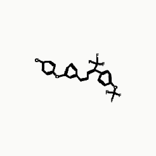 FC(F)(F)Oc1ccc(/C(=C\C=C/c2cccc(Oc3ccc(Cl)cc3)c2)C(F)(F)F)cc1